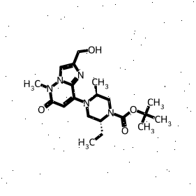 CC[C@@H]1CN(c2cc(=O)n(C)n3cc(CO)nc23)[C@@H](C)CN1C(=O)OC(C)(C)C